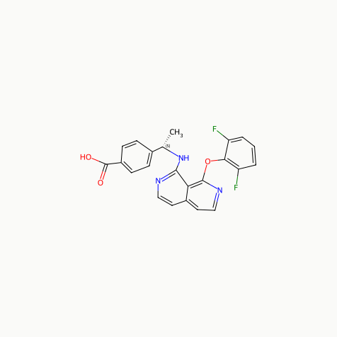 C[C@H](Nc1nccc2ccnc(Oc3c(F)cccc3F)c12)c1ccc(C(=O)O)cc1